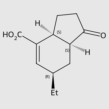 CC[C@H]1C=C(C(=O)O)[C@H]2CCC(=O)[C@H]2C1